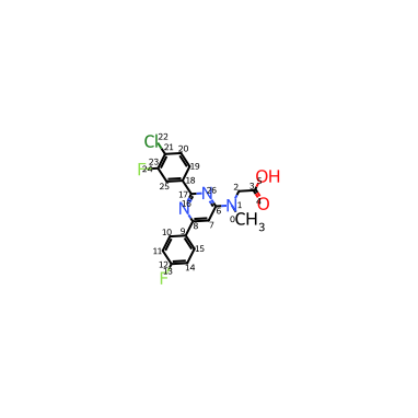 CN(CC(=O)O)c1cc(-c2ccc(F)cc2)nc(-c2ccc(Cl)c(F)c2)n1